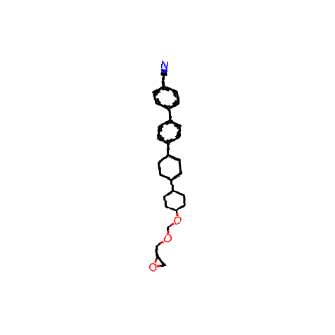 N#Cc1ccc(-c2ccc(C3CCC(C4CCC(OCOCC5CO5)CC4)CC3)cc2)cc1